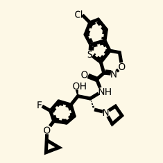 O=C(N[C@H](CN1CCC1)[C@H](O)c1ccc(OC2CC2)c(F)c1)C1=NOCc2c1sc1cc(Cl)ccc21